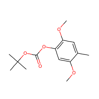 COc1cc(OC(=O)OC(C)(C)C)c(OC)cc1C